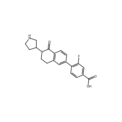 O=C(O)c1ccc(-c2ccc3c(c2)CCN(C2CCNC2)C3=O)c(F)c1